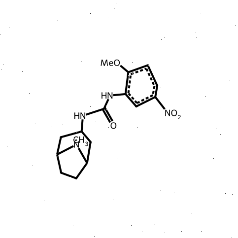 COc1ccc([N+](=O)[O-])cc1NC(=O)NC1CC2CCC(C1)N2C